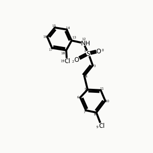 O=S(=O)(C=Cc1ccc(Cl)cc1)Nc1ccccc1Cl